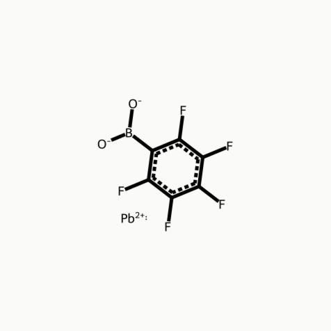 [O-]B([O-])c1c(F)c(F)c(F)c(F)c1F.[Pb+2]